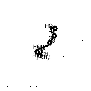 CC(C)(C)OC(=O)C(NCCCc1ccc(S(=O)(=O)c2cccc(Oc3ccccc3C(=O)O)c2)cc1)[C@H](O)c1cccc(Cl)c1